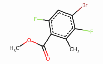 COC(=O)c1c(F)cc(Br)c(F)c1C